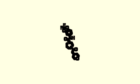 O=C(CC1CCOCC1)N1CCCN(C(=O)Nc2ccc3c(c2)OC(F)(F)O3)CC1